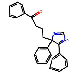 O=C(CCCC1(c2ccccc2)N=C[N+]=C1c1ccccc1)c1ccccc1